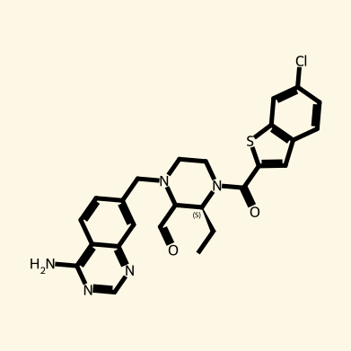 CC[C@H]1C(C=O)N(Cc2ccc3c(N)ncnc3c2)CCN1C(=O)c1cc2ccc(Cl)cc2s1